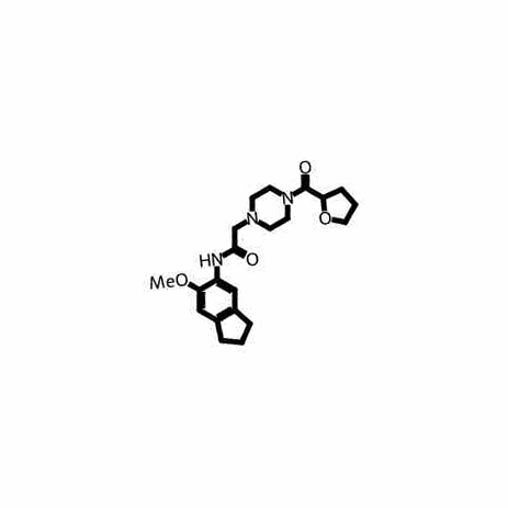 COc1cc2c(cc1NC(=O)CN1CCN(C(=O)C3CCCO3)CC1)CCC2